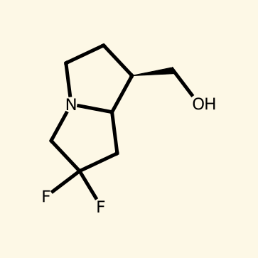 OC[C@@H]1CCN2CC(F)(F)CC12